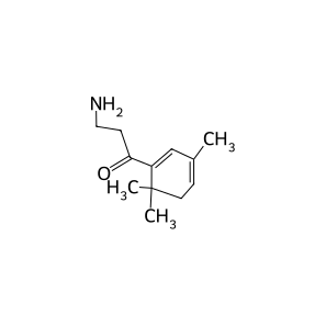 CC1=CCC(C)(C)C(C(=O)CCN)=C1